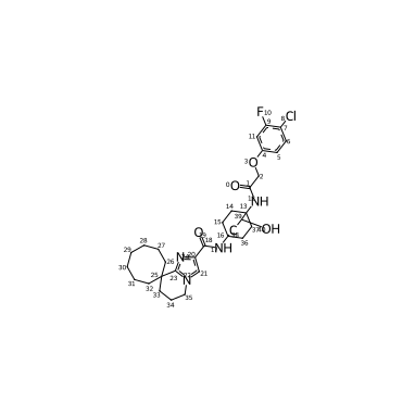 O=C(COc1ccc(Cl)c(F)c1)NC12CCC(NC(=O)c3cn4c(n3)C3(CCCCCCC3)CCC4)(CC1)CC2O